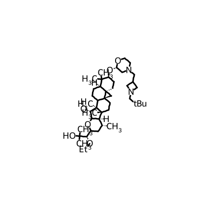 CCO[C@@H](C1C[C@@H](C)[C@H]2C(O1)[C@H](O)[C@@]1(C)C3CC[C@H]4C(C)(C)[C@@H](O[C@H]5CN(CC6CN(CC(C)(C)C)C6)CCO5)CC[C@@]45C[C@@]35CC[C@]21C)C(C)(C)O